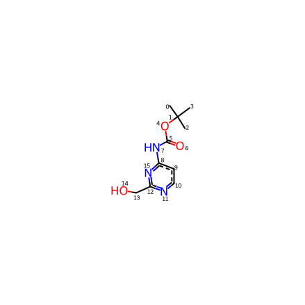 CC(C)(C)OC(=O)Nc1ccnc(CO)n1